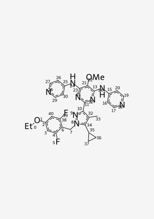 CCOc1cc(F)c(Cn2nc(-c3nc(Nc4ccncc4)c(OC)c(Nc4ccncc4)n3)c(C)c2C2CC2)c(F)c1